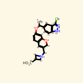 CCCC(Oc1ccc2c(c1)OCC(CN1CC(C(=O)O)C1)=C2)c1ccc2[nH]nc(Cl)c2c1